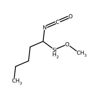 CCCCC(N=C=O)[SiH2]OC